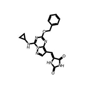 O=C1NC(=O)C(=Cc2cnn3c(NC4CC4)nc(OCc4ccccc4)nc23)N1